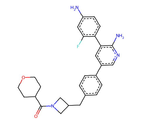 Nc1ccc(-c2cc(-c3ccc(CC4CN(C(=O)C5CCOCC5)C4)cc3)cnc2N)c(F)c1